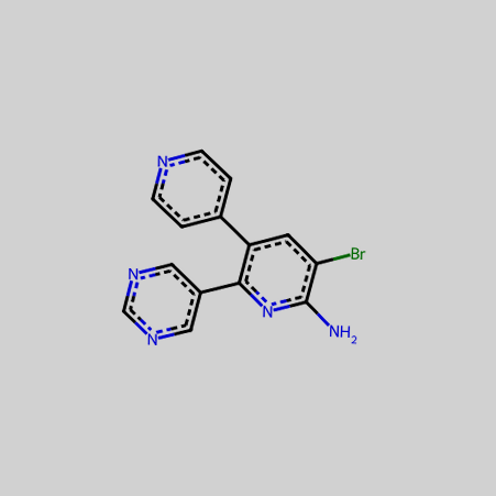 Nc1nc(-c2cncnc2)c(-c2ccncc2)cc1Br